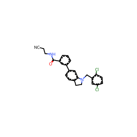 N#CCCNC(=O)c1cccc(-c2ccc3c(c2)N(Cc2cc(Cl)ccc2Cl)CC3)c1